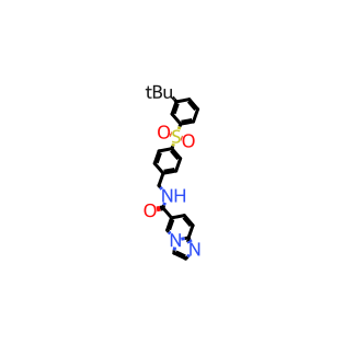 CC(C)(C)c1cccc(S(=O)(=O)c2ccc(CNC(=O)c3ccc4nccn4c3)cc2)c1